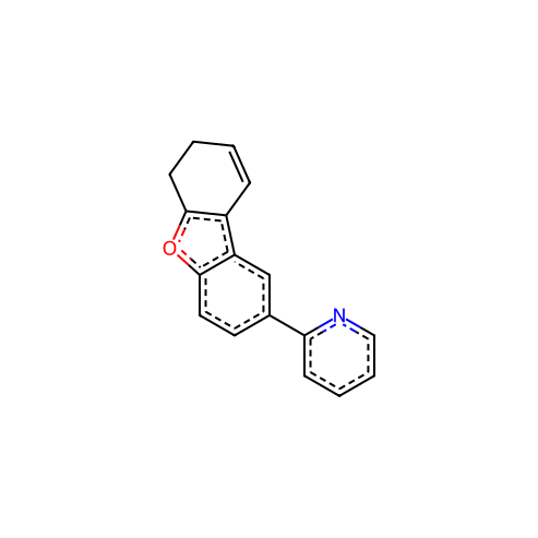 C1=Cc2c(oc3ccc(-c4ccccn4)cc23)CC1